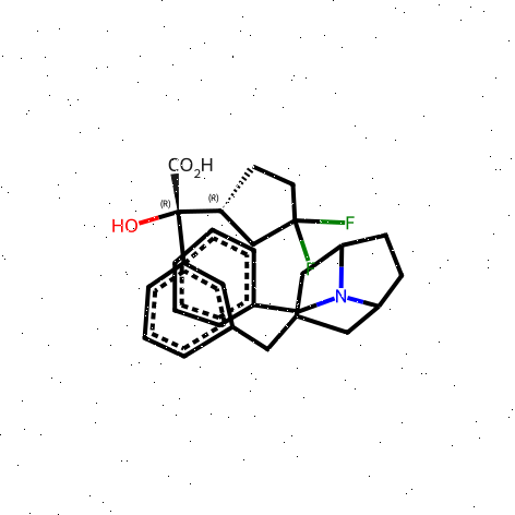 O=C(O)[C@](O)(c1cccc(CC2CC3CCC(C2)N3Cc2ccccc2)c1)[C@@H]1CCC(F)(F)C1